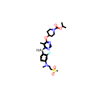 Cc1c(OC2CCN(C(=O)OC(C)C)CC2)ncnc1[AsH]c1ccc(N(C)CCS(C)(=O)=O)cc1F